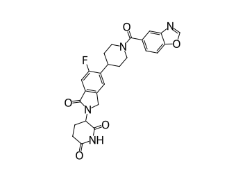 O=C1CCC(N2Cc3cc(C4CCN(C(=O)c5ccc6ocnc6c5)CC4)c(F)cc3C2=O)C(=O)N1